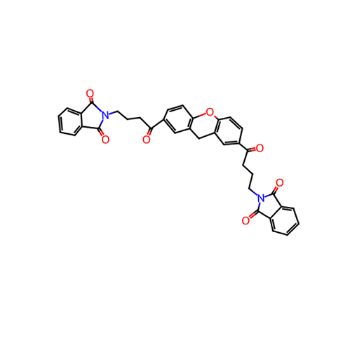 O=C(CCCN1C(=O)c2ccccc2C1=O)c1ccc2c(c1)Cc1cc(C(=O)CCCN3C(=O)c4ccccc4C3=O)ccc1O2